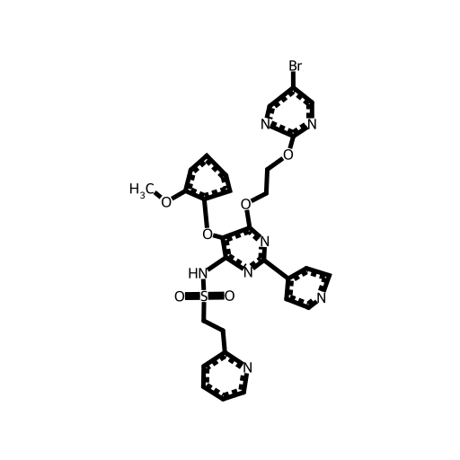 COc1ccccc1Oc1c(NS(=O)(=O)CCc2ccccn2)nc(-c2ccncc2)nc1OCCOc1ncc(Br)cn1